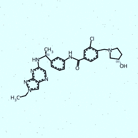 CCn1cc2ncc(N[C@@H](C)c3cccc(NC(=O)c4ccc(CN5CC[C@H](O)C5)c(Cl)c4)c3)nc2n1